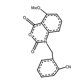 COc1cccc2c1c(=O)oc(=O)n2Cc1ccccc1C#N